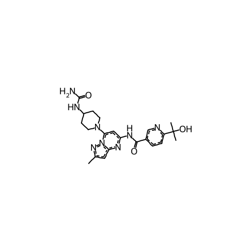 Cc1cc2nc(NC(=O)c3ccc(C(C)(C)O)nc3)cc(N3CCC(NC(N)=O)CC3)n2n1